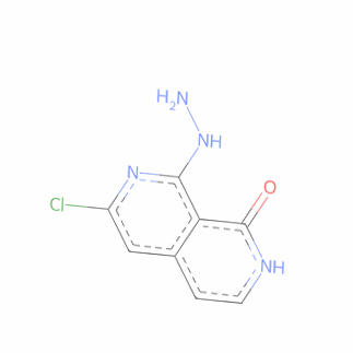 NNc1nc(Cl)cc2cc[nH]c(=O)c12